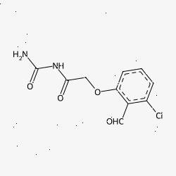 NC(=O)NC(=O)COc1cccc(Cl)c1C=O